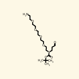 CC(C)(C)OC(=O)N(CCC=O)CCOCCOCCOCCOCCN